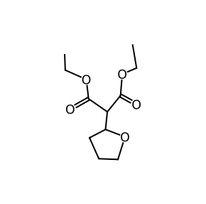 CCOC(=O)C(C(=O)OCC)C1CCCO1